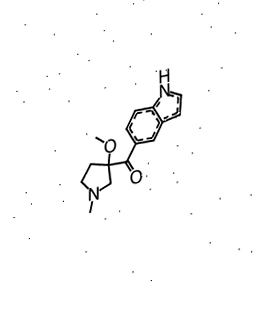 COC1(C(=O)c2ccc3[nH]ccc3c2)CCN(C)C1